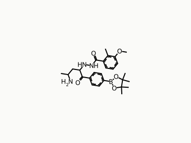 COc1cccc(C(=O)NNC(CC(C)N)C(=O)c2ccc(B3OC(C)(C)C(C)(C)O3)cc2)c1C